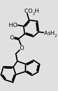 O=C(O)c1cc([AsH2])cc(C(=O)OCC2c3ccccc3-c3ccccc32)c1O